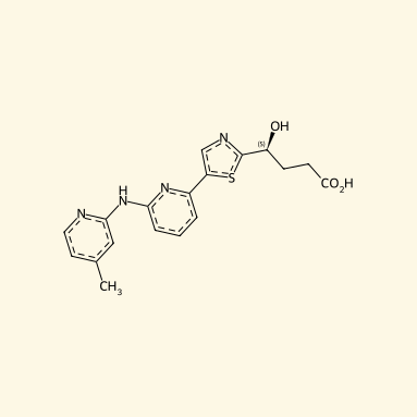 Cc1ccnc(Nc2cccc(-c3cnc([C@@H](O)CCC(=O)O)s3)n2)c1